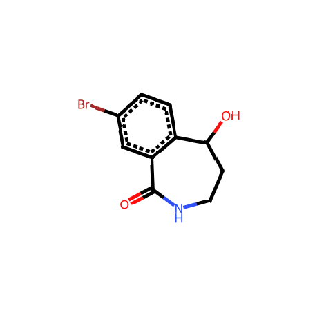 O=C1NCCC(O)c2ccc(Br)cc21